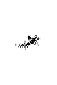 Cc1cc(N2CC(C(=O)NCCC(C)C)C2)nc2c1c(=O)c(C(=O)O)cn2-c1nccs1